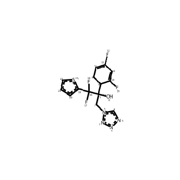 OC(Cn1cnnn1)(C1CC=C(F)C=C1F)C(F)(F)c1cccs1